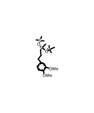 COc1ccc(CCC[Si](C)(O[Si](C)(C)C)O[Si](C)(C)C)cc1OC